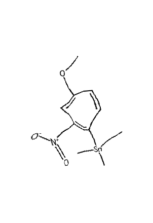 COc1cc[c]([Sn]([CH3])([CH3])[CH3])c([N+](=O)[O-])c1